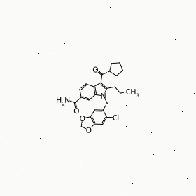 CCCc1c(C(=O)C2CCCC2)c2ccc(C(N)=O)cc2n1Cc1cc2c(cc1Cl)OCO2